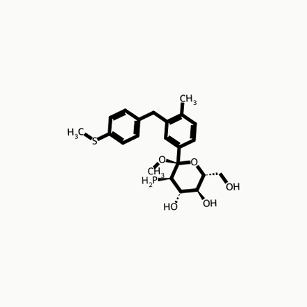 CO[C@@]1(c2ccc(C)c(Cc3ccc(SC)cc3)c2)O[C@H](CO)[C@@H](O)[C@H](O)[C@H]1P